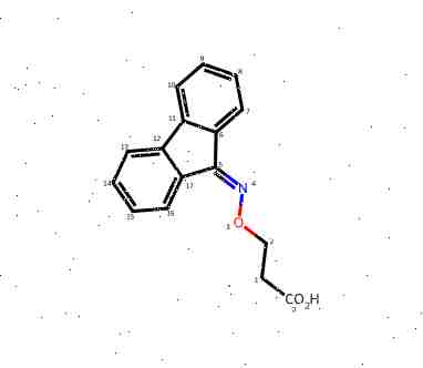 O=C(O)CCON=C1c2ccccc2-c2ccccc21